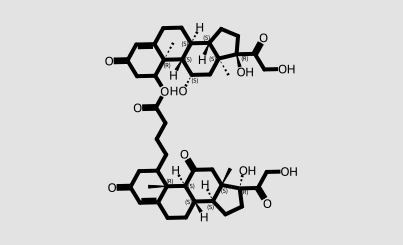 C[C@]12C[C@H](O)[C@H]3[C@@H](CCC4=CC(=O)CC(OC(=O)CCCC5CC(=O)C=C6CC[C@H]7[C@@H]8CC[C@](O)(C(=O)CO)[C@@]8(C)CC(=O)[C@@H]7[C@]65C)[C@@]43C)[C@@H]1CC[C@]2(O)C(=O)CO